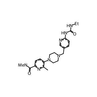 CCNC(=O)Nc1ccc(CN2CCN(c3ccc(C(=O)NC)nc3C)CC2)cn1